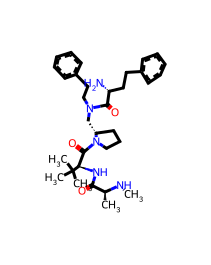 CN[C@@H](C)C(=O)N[C@H](C(=O)N1CCC[C@H]1CN(CCc1ccccc1)C(=O)[C@H](N)CCc1ccccc1)C(C)(C)C